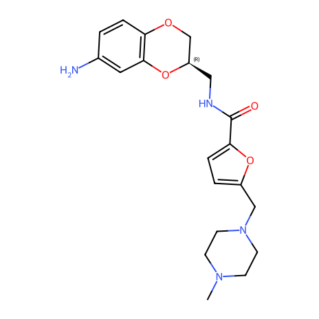 CN1CCN(Cc2ccc(C(=O)NC[C@@H]3COc4ccc(N)cc4O3)o2)CC1